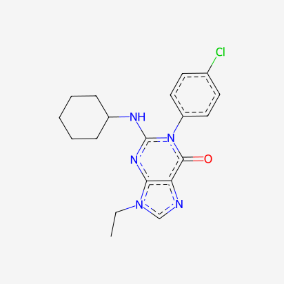 CCn1cnc2c(=O)n(-c3ccc(Cl)cc3)c(NC3CCCCC3)nc21